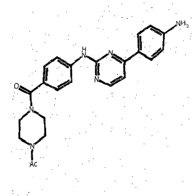 CC(=O)N1CCN(C(=O)c2ccc(Nc3nccc(-c4ccc(N)cc4)n3)cc2)CC1